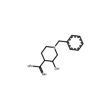 CCCC(=N)C1CCN(Cc2ccccc2)CC1O